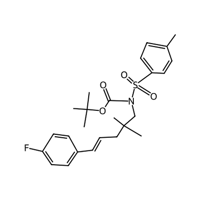 Cc1ccc(S(=O)(=O)N(CC(C)(C)C/C=C/c2ccc(F)cc2)C(=O)OC(C)(C)C)cc1